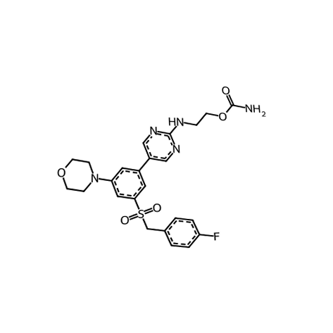 NC(=O)OCCNc1ncc(-c2cc(N3CCOCC3)cc(S(=O)(=O)Cc3ccc(F)cc3)c2)cn1